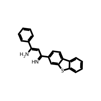 N=C(/C=C(\N)c1ccccc1)c1ccc2c(c1)sc1ccccc12